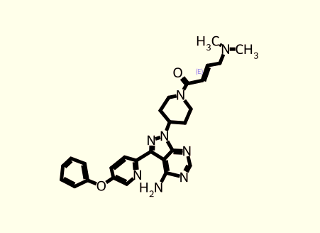 CN(C)C/C=C/C(=O)N1CCC(n2nc(-c3ccc(Oc4ccccc4)cn3)c3c(N)ncnc32)CC1